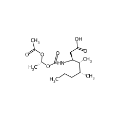 CCC[C@@H](C)[C@@H](C)[C@H](CC(=O)O)NC(=O)O[C@H](C)OC(C)=O